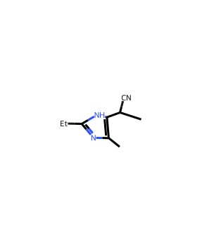 CCc1nc(C)c(C(C)C#N)[nH]1